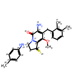 COc1c(Cc2cccc(C)c2C)c(N)c(=O)n2c1C(=S)C[C@@H]2Nc1ccc(C)cc1